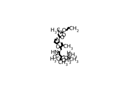 C=CCOC(=O)N(C)CC(=O)N1CCC[C@H]1C=C(C)C(=O)C[C@H]1NC(=O)[C@H]1[C@@H](CO[SiH](C)C)C(C)(C)C